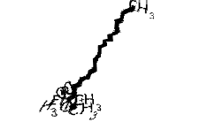 CC=CCCCCCCCCCCCCCCCCCC(CC)(P(=O)=O)[N+](C)(C)C